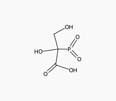 O=C(O)C(O)(CO)P(=O)=O